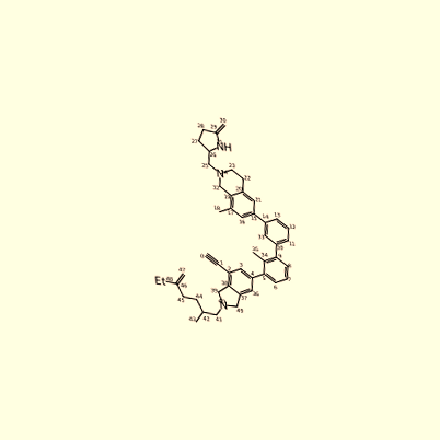 C#Cc1cc(-c2cccc(-c3cccc(-c4cc(C)c5c(c4)CCN(CC4CCC(=C)N4)C5)c3)c2C)cc2c1CN(CC(C)CCC(=C)CC)C2